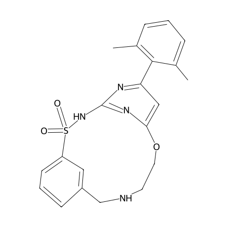 Cc1cccc(C)c1-c1cc2nc(n1)NS(=O)(=O)c1cccc(c1)CNCCO2